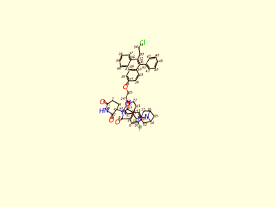 O=C1CCC(N2C(=O)c3cc(F)c(N4C5CC4CN(CC4CCN(CCOc6ccc(C(=C(CCCl)c7ccccc7)c7ccccc7)cc6)CC4)C5)cc3C2=O)C(=O)N1